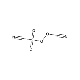 N#COOS(=O)(=O)C#N